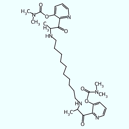 CC(NCCCCCCCCCCNC(C)C(=O)c1ncccc1OC(=O)N(C)C)C(=O)c1ncccc1OC(=O)N(C)C